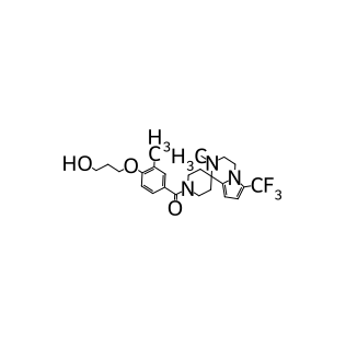 Cc1cc(C(=O)N2CCC3(CC2)c2ccc(C(F)(F)F)n2CCN3C)ccc1OCCCO